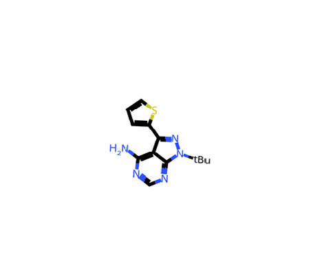 CC(C)(C)n1nc(-c2cccs2)c2c(N)ncnc21